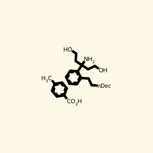 CCCCCCCCCCCCc1ccccc1C(N)(CCO)CCO.Cc1ccc(C(=O)O)cc1